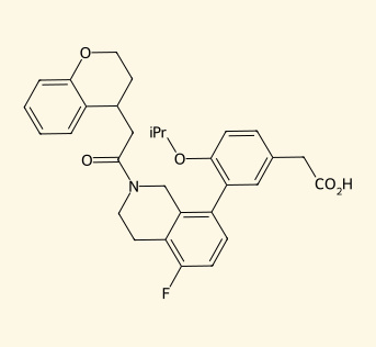 CC(C)Oc1ccc(CC(=O)O)cc1-c1ccc(F)c2c1CN(C(=O)CC1CCOc3ccccc31)CC2